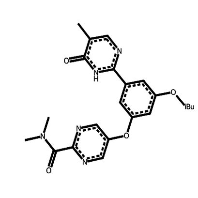 CCC(C)Oc1cc(Oc2cnc(C(=O)N(C)C)nc2)cc(-c2ncc(C)c(=O)[nH]2)c1